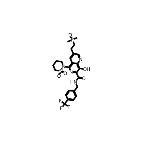 CP(C)(=O)CCc1cnc2c(O)c(C(=O)NCc3ccc(C(F)(F)F)cc3)nc(N3CCCCS3(=O)=O)c2c1